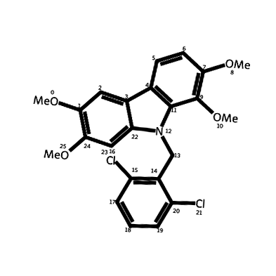 COc1cc2c3ccc(OC)c(OC)c3n(Cc3c(Cl)cccc3Cl)c2cc1OC